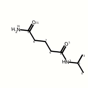 CC(C)NC(=O)CCCC(N)=O